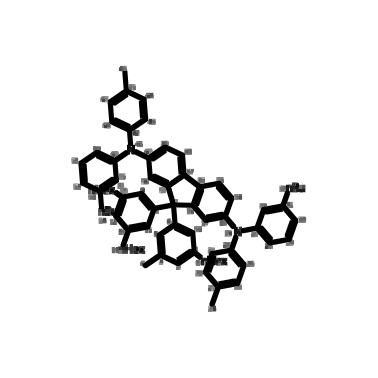 CCCCCCc1cc(C)cc(C2(c3cc(CCCCCC)cc(CCCCCC)c3)c3cc(N(c4ccc(C)cc4)c4cccc(CCCC)c4)ccc3-c3ccc(N(c4ccc(C)cc4)c4cccc(CCCC)c4)cc32)c1